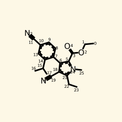 CCOC(=O)c1c(-c2ccc(C#N)cc2C(C)C)c(C#N)c(CC)n1C